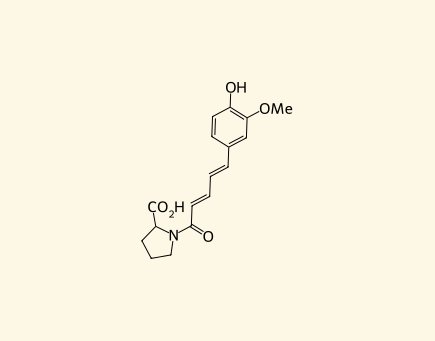 COc1cc(/C=C/C=C/C(=O)N2CCCC2C(=O)O)ccc1O